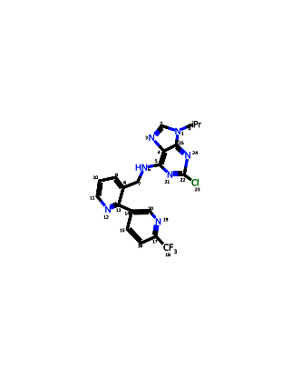 CC(C)n1cnc2c(NCc3cccnc3-c3ccc(C(F)(F)F)nc3)nc(Cl)nc21